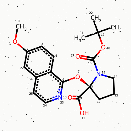 COc1ccc2c(O[C@]3(C(=O)O)CCCN3C(=O)OC(C)(C)C)nccc2c1